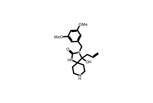 C=CCC1(O)N(Cc2cc(OC)cc(OC)c2)C(=O)NC12CCNCC2